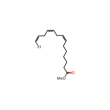 CC/C=C\C/C=C\C/C=C\CCCCCC(=O)OC